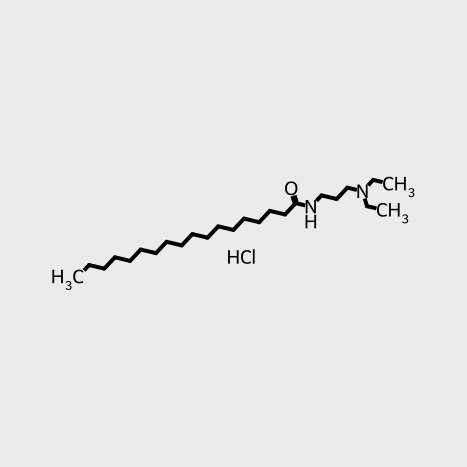 CCCCCCCCCCCCCCCCCC(=O)NCCCN(CC)CC.Cl